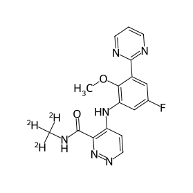 [2H]C([2H])([2H])NC(=O)c1nnccc1Nc1cc(F)cc(-c2ncccn2)c1OC